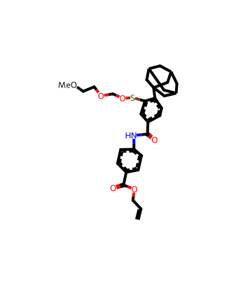 C=CCOC(=O)c1ccc(NC(=O)c2ccc(C34CC5CC(CC(C5)C3)C4)c(SOCOCCOC)c2)cc1